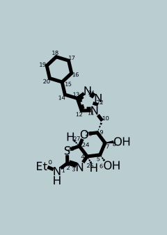 CCNC1=N[C@@H]2[C@@H](O)[C@H](O)[C@@H](Cn3cc(CC4CCCCC4)nn3)O[C@@H]2S1